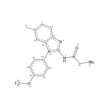 Cc1ccc2nc(NC(=O)CC(C)(C)C)n(-c3ccc(OC(F)(F)F)cc3)c2c1